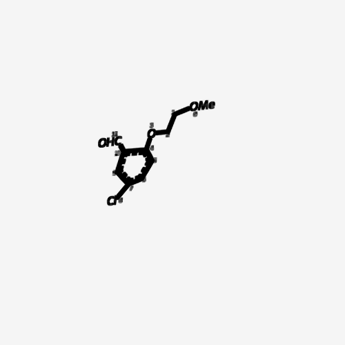 COCCOc1ccc(Cl)cc1C=O